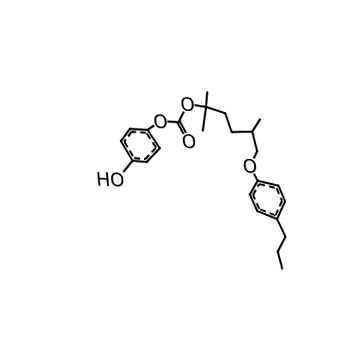 CCCc1ccc(OCC(C)CCC(C)(C)OC(=O)Oc2ccc(O)cc2)cc1